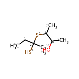 CCC(C)(S)SC(C)C(C)O